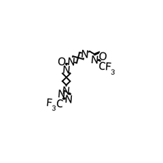 O=C(N1CC2(CC(n3cnc(C(F)(F)F)n3)C2)C1)N1CC2(CN(Cc3coc(C(F)(F)F)n3)C2)C1